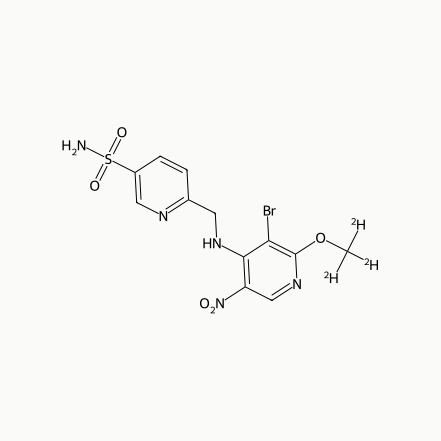 [2H]C([2H])([2H])Oc1ncc([N+](=O)[O-])c(NCc2ccc(S(N)(=O)=O)cn2)c1Br